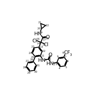 O=C(Nc1cccc(C(F)(F)F)c1)Nc1cc(C(Cl)(Cl)C(=O)NC2CC2)ccc1-c1ccccc1